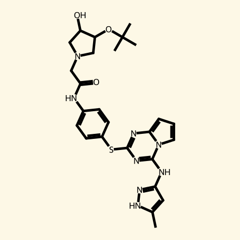 Cc1cc(Nc2nc(Sc3ccc(NC(=O)CN4CC(O)C(OC(C)(C)C)C4)cc3)nc3cccn23)n[nH]1